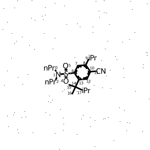 CCCN(CCC)S(=O)(=O)c1cc(C(C)C)c(C#N)cc1C(C)(C)C(C)C